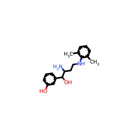 Cc1cccc(C)c1NCCC(N)C(O)c1cccc(O)c1